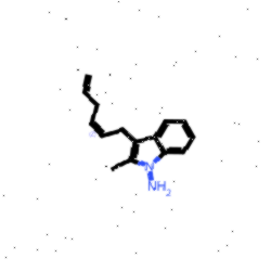 C=CC/C=C\Cc1c(C)n(N)c2ccccc12